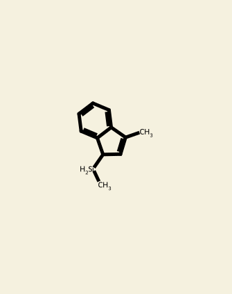 C[SiH2]C1C=C(C)c2ccccc21